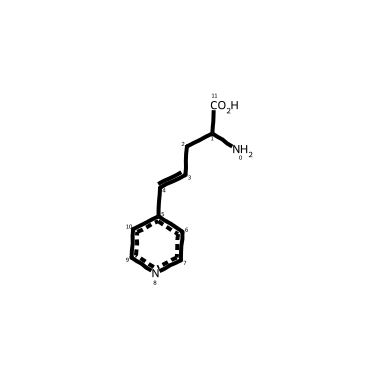 NC(CC=Cc1ccncc1)C(=O)O